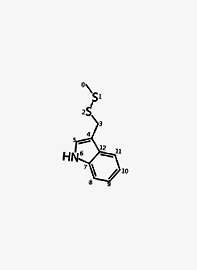 CSSCc1c[nH]c2ccccc12